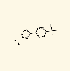 O=S([O-])c1cc(-c2ccc(C(F)(F)F)cc2)cs1.[Na+]